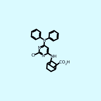 O=C(O)C1C2CCC(CC2)C1Nc1cc(N(c2ccccc2)c2ccccc2)nc(Cl)n1